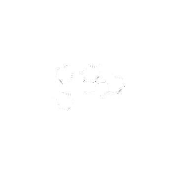 Cc1cccn2nc(C[P+](c3ccccc3)(c3ccccc3)c3ccccc3)nc12.[Cl-]